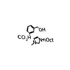 CCCCCCCCN1C=CN(C)C1.O=C(O)c1cccc(CO)c1